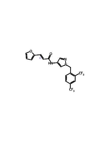 O=C(/C=C/c1ccco1)Nc1cnn(Cc2ccc(C(F)(F)F)cc2C(F)(F)F)c1